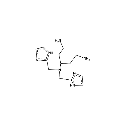 NCCC(CCN)N(Cc1ncc[nH]1)Cc1ncc[nH]1